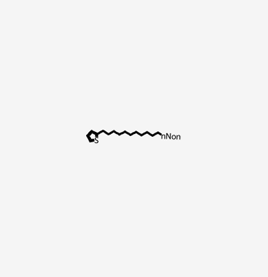 CCCCCCCCCCCCCCCCCCCCc1cccs1